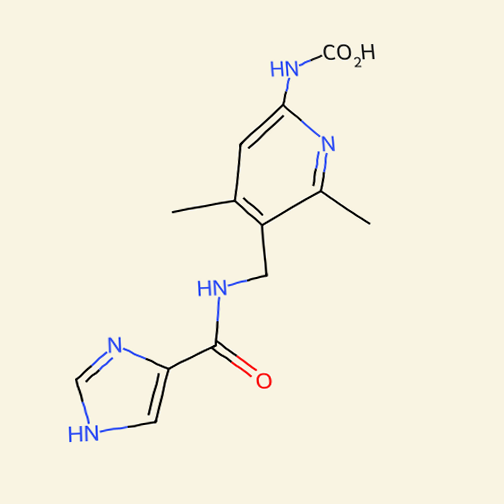 Cc1cc(NC(=O)O)nc(C)c1CNC(=O)c1c[nH]cn1